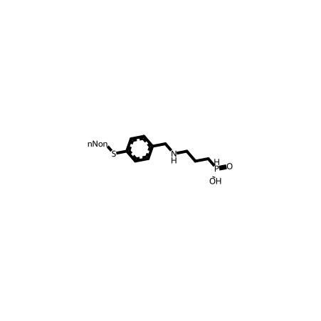 CCCCCCCCCSc1ccc(CNCCC[PH](=O)O)cc1